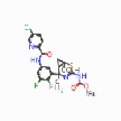 CC(C)(C)OC(=O)NC1=N[C@](C)(c2cc(NC(=O)c3ccc(Cl)cn3)cc(F)c2F)C2C[C@]2(C(=O)O)S1